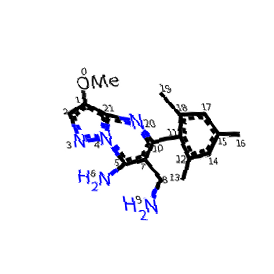 COc1cnn2c(N)c(CN)c(-c3c(C)cc(C)cc3C)nc12